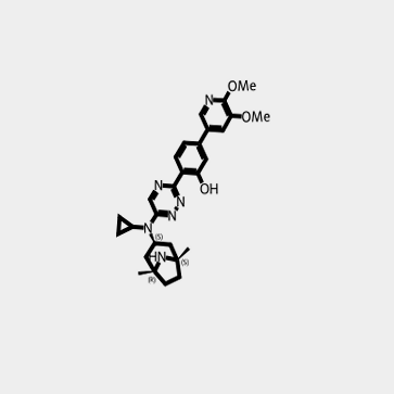 COc1cc(-c2ccc(-c3ncc(N(C4CC4)[C@H]4C[C@]5(C)CC[C@](C)(C4)N5)nn3)c(O)c2)cnc1OC